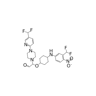 O=CC(OC1CCC(Nc2ccc([N+](=O)[O-])c(C(F)F)c2)CC1)N1CCN(c2ccc(C(F)F)cn2)CC1